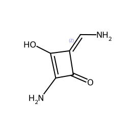 N/C=C1\C(=O)C(N)=C1O